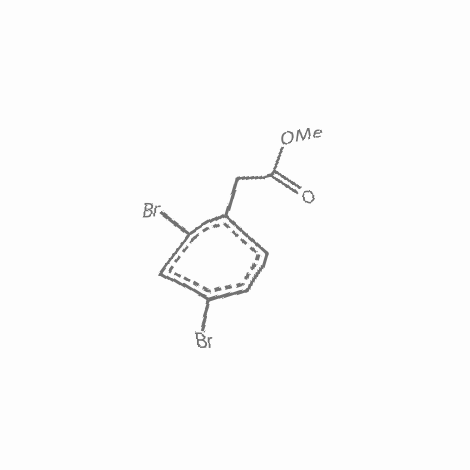 COC(=O)Cc1ccc(Br)cc1Br